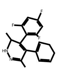 CC1=NNC(C)C(c2c(F)cc(F)cc2F)=C1C1=CCCC=C1